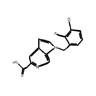 O=C(O)c1cc2ccn(Cc3cccc(Cl)c3F)c2cn1